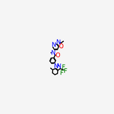 Cc1nc2ncc(N(C)C(=O)c3cccc(-n4nc(C(F)(F)F)c5c4C(C)CCC5)c3)cc2o1